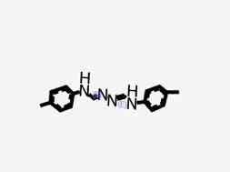 Cc1ccc(N/C=N/N=C/Nc2ccc(C)cc2)cc1